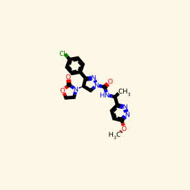 COc1ccc(C(C)NC(=O)N2C[C@H](N3CCOC3=O)C(c3ccc(Cl)cc3)=N2)nn1